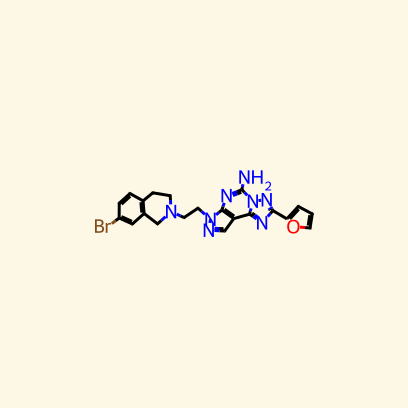 Nc1nc2c(cnn2CCN2CCc3ccc(Br)cc3C2)c2nc(-c3ccco3)nn12